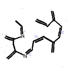 C=CC(=C)/C=C\C(=C)/C=C\C=N/C(=C)C(=C)/N=C\C